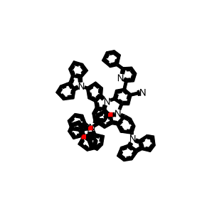 N#Cc1cc(-n2c3ccc(-n4c5ccccc5c5ccccc54)cc3c3cc(-n4c5ccccc5c5ccccc54)ccc32)c(-n2c3ccc(-n4c5ccccc5c5ccccc54)cc3c3cc(-n4c5ccccc5c5ccccc54)ccc32)cc1-c1cccc(-c2ccccc2)n1